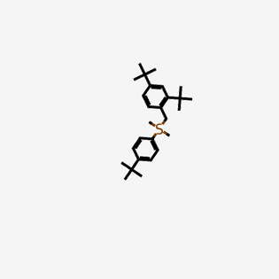 CC(C)(C)c1ccc(S(C)(C)Cc2ccc(C(C)(C)C)cc2C(C)(C)C)cc1